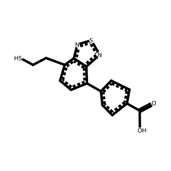 O=C(O)c1ccc(-c2ccc(CCS)c3nsnc23)cc1